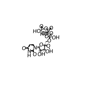 CO[C@]1(COP(=O)(O)OP(=O)(O)OP(=O)(O)O)O[C@@H](n2ccc(=O)[nH]c2=O)[C@H](O)[C@@H]1O